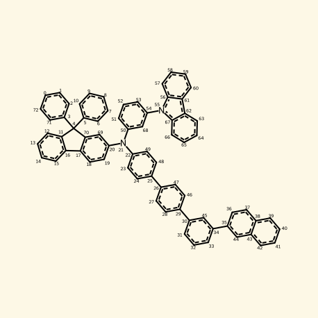 c1ccc(C2(c3ccccc3)c3ccccc3-c3ccc(N(c4ccc(-c5ccc(-c6cccc(-c7ccc8ccccc8c7)c6)cc5)cc4)c4cccc(-n5c6ccccc6c6ccccc65)c4)cc32)cc1